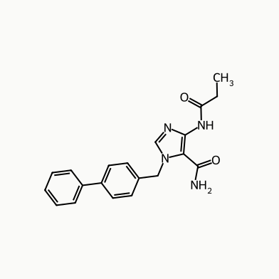 CCC(=O)Nc1ncn(Cc2ccc(-c3ccccc3)cc2)c1C(N)=O